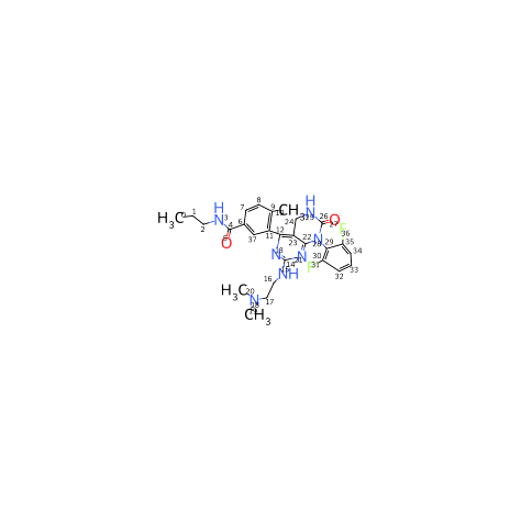 CCCNC(=O)c1ccc(C)c(-c2nc(NCCN(C)C)nc3c2CNC(=O)N3c2c(F)cccc2F)c1